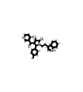 Cc1ccc(C2C(C(=O)c3cccnc3)=C(O)C(=O)N2CCc2c[nH]c3ccccc23)cc1